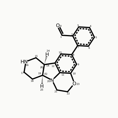 O=Cc1ccccc1-c1cc2c3c(c1)[C@@H]1CNCC[C@@H]1N3CCO2